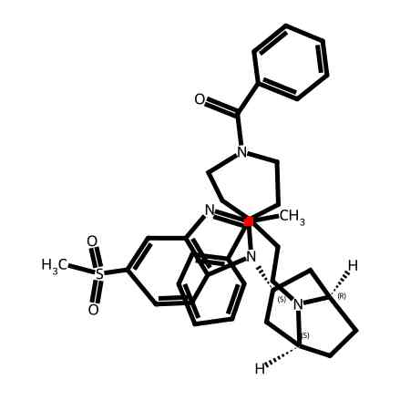 Cc1nc2cc(S(C)(=O)=O)ccc2n1[C@@H]1C[C@H]2CC[C@@H](C1)N2CCC1(c2ccccc2)CCN(C(=O)c2ccccc2)CC1